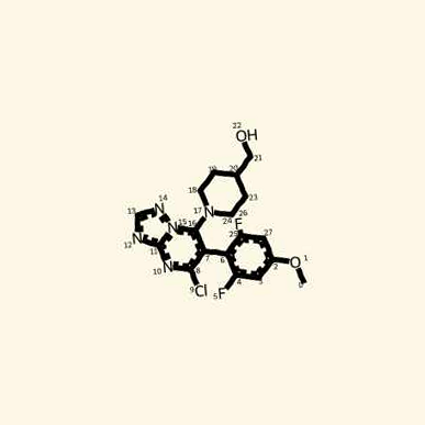 COc1cc(F)c(-c2c(Cl)nc3ncnn3c2N2CCC(CO)CC2)c(F)c1